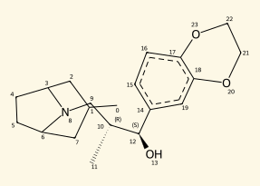 CC1CC2CCC(C1)N2C[C@@H](C)[C@H](O)c1ccc2c(c1)OCCO2